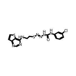 O=C(NN=NSCCNc1ncnc2ccsc12)Nc1cccc(Cl)c1